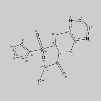 O=C(NO)C1Cc2nccnc2CN1S(=O)(=O)c1cccs1